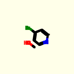 Brc1c[c]ncc1.CO